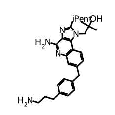 CCCC(C)c1nc2c(N)nc3cc(Cc4ccc(CCCN)cc4)ccc3c2n1CC(C)(C)O